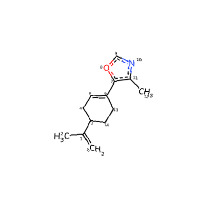 C=C(C)C1CC=C(c2ocnc2C)CC1